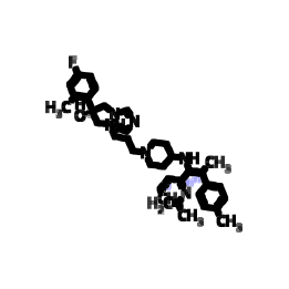 C=C(C)/N=C(\C=C/C)C(/NC1CCN(CCCNC[C@](O)(Cn2cncn2)c2ccc(F)cc2C)CC1)=C(/C)c1ccc(C)cc1